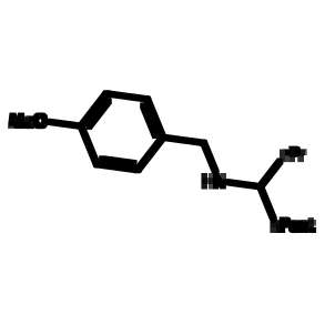 CCCCCC(CCC)NCc1ccc(OC)cc1